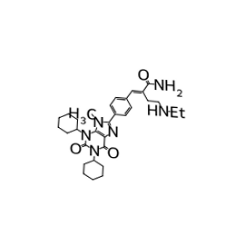 CCNCC/C(=C\c1ccc(-c2nc3c(=O)n(C4CCCCC4)c(=O)n(C4CCCCC4)c3n2C)cc1)C(N)=O